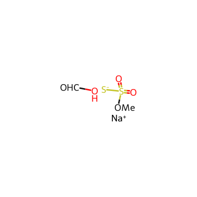 COS(=O)(=O)[S-].O=CO.[Na+]